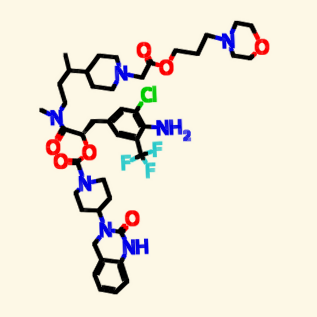 CC(CCN(C)C(=O)[C@@H](Cc1cc(Cl)c(N)c(C(F)(F)F)c1)OC(=O)N1CCC(N2Cc3ccccc3NC2=O)CC1)C1CCN(CC(=O)OCCCN2CCOCC2)CC1